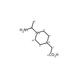 CC(N)N1CCN(CC(=O)O)CC1